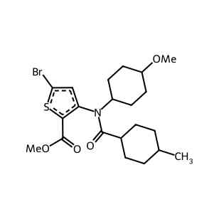 COC(=O)c1sc(Br)cc1N(C(=O)C1CCC(C)CC1)C1CCC(OC)CC1